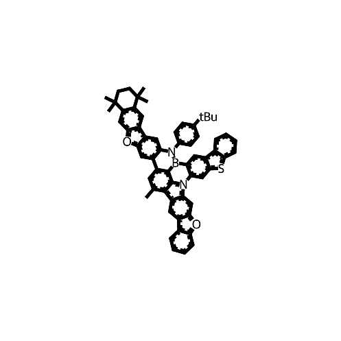 Cc1cc2c3c4c1c1cc5c(cc1n4-c1cc4sc6ccccc6c4cc1B3N(c1ccc(C(C)(C)C)cc1)c1cc3c(cc1-2)oc1cc2c(cc13)C(C)(C)CCC2(C)C)oc1ccccc15